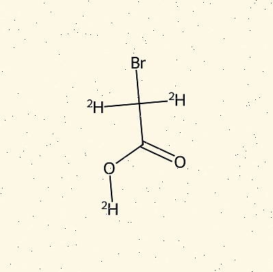 [2H]OC(=O)C([2H])([2H])Br